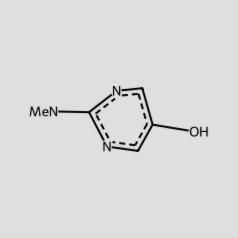 CNc1ncc(O)cn1